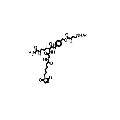 CC(=O)NCCNC(=O)OCc1ccc(NC(=O)[C@H](CCCNC(N)=O)NC(=O)CNC(=O)CCCCCN2C(=O)C=CC2=O)cc1